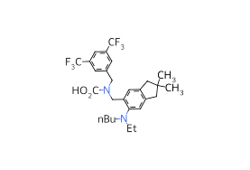 CCCCN(CC)c1cc2c(cc1CN(Cc1cc(C(F)(F)F)cc(C(F)(F)F)c1)C(=O)O)CC(C)(C)C2